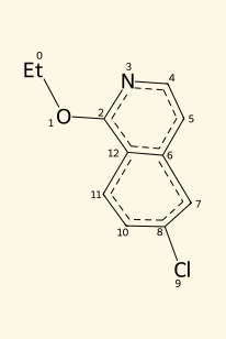 CCOc1nccc2cc(Cl)ccc12